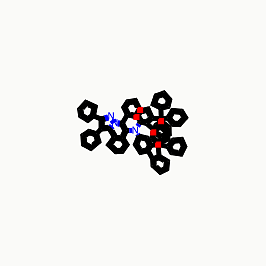 c1ccc(-c2nn3c(-c4ccccc4)c(N(c4ccc5c(c4)C(c4ccccc4)(c4ccccc4)c4ccccc4-5)c4cccc5c4-c4ccccc4C5(c4ccccc4)c4ccccc4)c4ccccc4c3c2-c2ccccc2)cc1